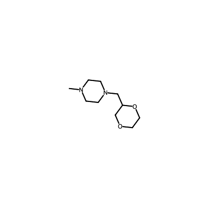 CN1CCN(CC2COCCO2)CC1